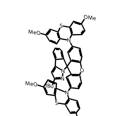 COc1ccc2c(c1)Sc1cc(OC)ccc1N2c1ccc2c(c1)C1(c3cc(N4c5ccc(OC)cc5Sc5cc(OC)ccc54)ccc3O2)c2ccccc2-c2cc(C(C)(C)C)nn21